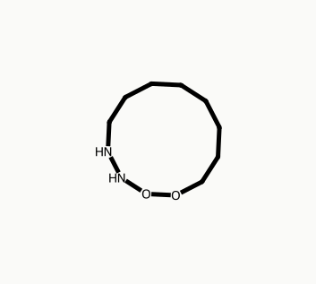 C1CCCCOONNCCC1